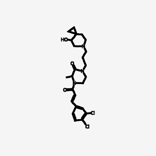 CC1C(=O)N(CCCN2CCC3(CC3)C(O)C2)CCN1C(=O)C=Cc1ccc(Cl)c(Cl)c1